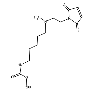 CN(CCCCCNC(=O)OC(C)(C)C)CCN1C(=O)C=CC1=O